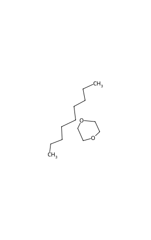 C1COCCO1.CCCCCCCCC